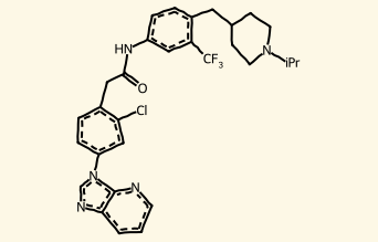 CC(C)N1CCC(Cc2ccc(NC(=O)Cc3ccc(-n4cnc5cccnc54)cc3Cl)cc2C(F)(F)F)CC1